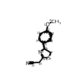 COc1ccc(C2CSC(CC#N)=N2)cc1